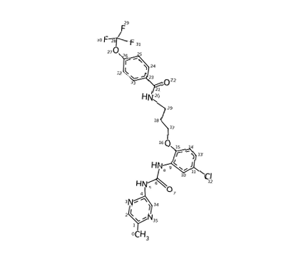 Cc1cnc(NC(=O)Nc2cc(Cl)ccc2OCCCNC(=O)c2ccc(OC(F)(F)F)cc2)cn1